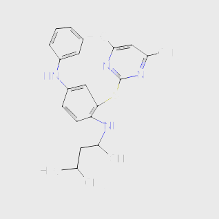 Cc1cc(C)nc(Sc2cc(Nc3ccccc3)ccc2NC(C)CC(C)C)n1